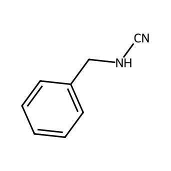 N#CNCc1ccccc1